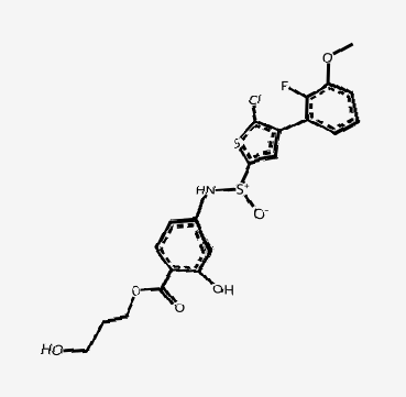 COc1cccc(-c2cc([S+]([O-])Nc3ccc(C(=O)OCCCO)c(O)c3)sc2Cl)c1F